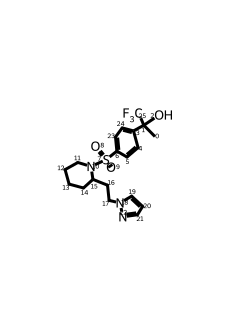 CC(O)(c1ccc(S(=O)(=O)N2CCCCC2CCn2cccn2)cc1)C(F)(F)F